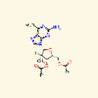 CCC(=O)OC[C@H]1O[C@@H](n2cnc3c(NC)nc(N)nc32)[C@](C)(F)[C@@H]1OC(=O)CC